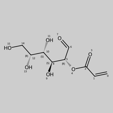 C=CC(=O)O[C@@H](C=O)[C@@H](O)[C@@H](O)[C@H](O)CO